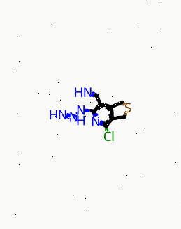 N=Cc1c(NN=N)nc(Cl)c2c1CSC2